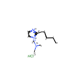 CCCCc1ncc[nH]1.CN(C)C.Cl